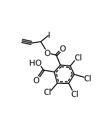 C#CC(I)OC(=O)c1c(Cl)c(Cl)c(Cl)c(Cl)c1C(=O)O